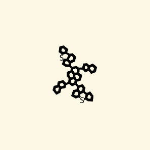 c1ccc2c(c1)Sc1ccc(-c3cc(-c4ccc5ccccc5c4)c4ccc5c(-c6ccc7c8c(cccc68)Sc6ccccc6-7)cc(-c6ccc7ccccc7c6)c6ccc3c4c65)c3cccc-2c13